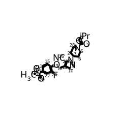 CC(C)OC(=O)N1CCC(n2ncc(COc3ccc(S(C)(=O)=O)cc3F)c2C#N)CC1